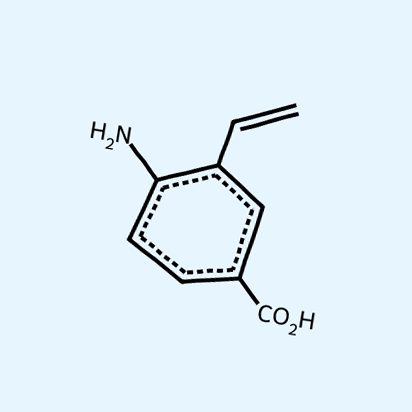 C=Cc1cc(C(=O)O)ccc1N